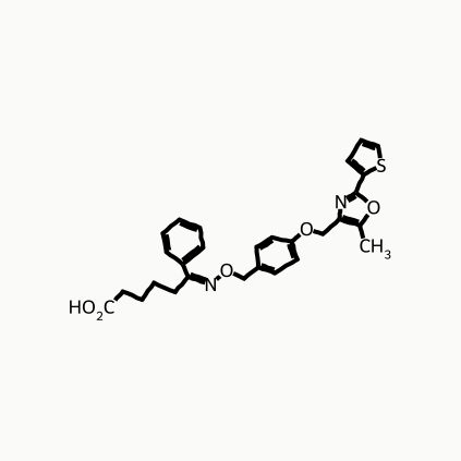 Cc1oc(-c2cccs2)nc1COc1ccc(CON=C(CCCCC(=O)O)c2ccccc2)cc1